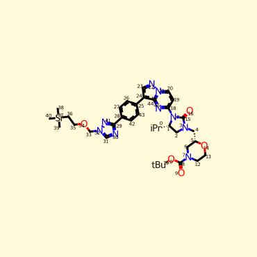 CC(C)[C@H]1CN(C[C@H]2CN(C(=O)OC(C)(C)C)CCO2)C(=O)N1c1ccn2ncc(-c3ccc(-c4ncn(COCC[Si](C)(C)C)n4)cc3)c2n1